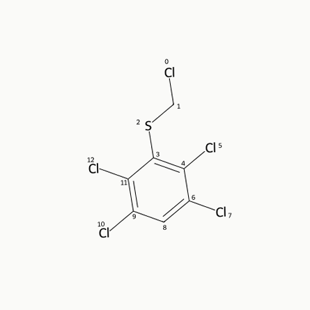 ClCSc1c(Cl)c(Cl)cc(Cl)c1Cl